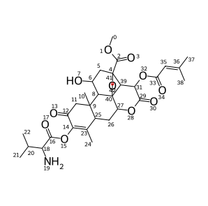 COC(=O)C12CC(O)C3C4(C)CC(=O)C(OC(=O)C(N)C(C)C)=C(C)C4CC4OC(=O)C(OC(=O)C=C(C)C)C1C43CO2